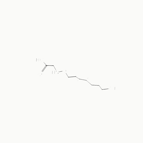 CCCCCCCCONCC(=O)O